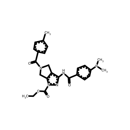 CCOC(=O)n1nc(NC(=O)c2ccc(N(C)C)cc2)c2c1CN(C(=O)c1ccc(C)cc1)C2